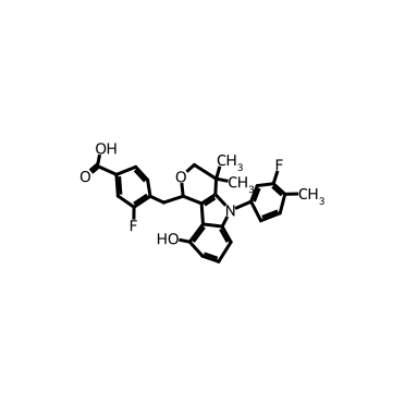 Cc1ccc(-n2c3c(c4c(O)cccc42)C(Cc2ccc(C(=O)O)cc2F)OCC3(C)C)cc1F